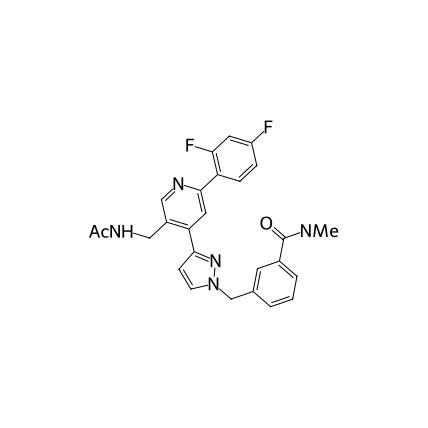 CNC(=O)c1cccc(Cn2ccc(-c3cc(-c4ccc(F)cc4F)ncc3CNC(C)=O)n2)c1